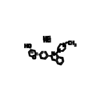 CCN1CCN(c2nc(-c3ccc([C@H]4C[C@@H](O)CCO4)cc3)cc3ccccc23)CC1.Cl.Cl